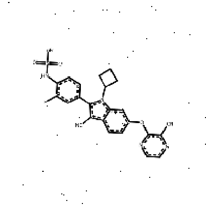 CCCS(=O)(=O)Nc1ccc(-c2c(C#N)c3ccc(Oc4nccnc4C#N)cc3n2C2CCC2)cc1F